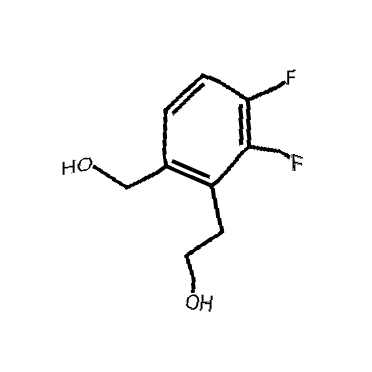 OCCc1c(CO)ccc(F)c1F